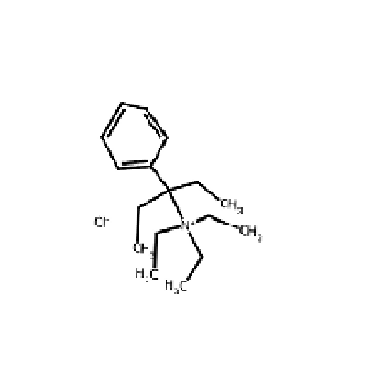 CCC(CC)(c1ccccc1)[N+](CC)(CC)CC.[Cl-]